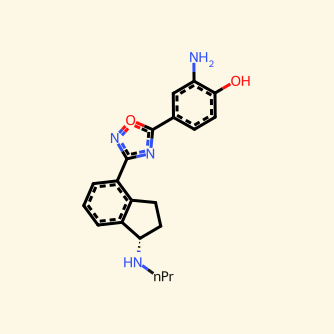 CCCN[C@H]1CCc2c(-c3noc(-c4ccc(O)c(N)c4)n3)cccc21